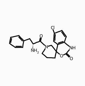 N[C@H](Cc1ccccc1)C(=O)N1CCCC2(C1)OC(=O)Nc1ccc(Cl)cc12